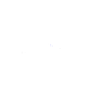 O=S(=O)(O)C=Cn1cccc1